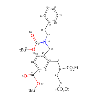 CCOC(=O)CCC(Cc1cc(C(=O)OC(C)(C)C)ccc1CN(CCc1ccccc1)C(=O)OC(C)(C)C)C(=O)OCC